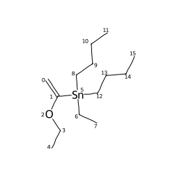 C=[C](OCC)[Sn]([CH2]C)([CH2]CCC)[CH2]CCC